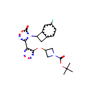 CC(C)(C)OC(=O)N1CC(Oc2nonc2-c2noc(=O)n2C2Cc3ccc(F)cc32)C1